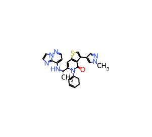 C[C@H](Nc1ccnn2ccnc12)c1cc2scc(-c3cnn(C)c3)c2c(=O)n1C1=CC=CCC1